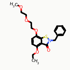 CCOc1ccc(OCCOCCOC)c2sn(Cc3ccccc3)c(=O)c12